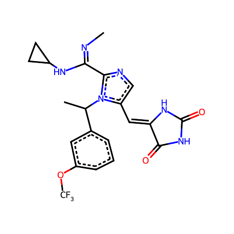 C/N=C(/NC1CC1)c1ncc(/C=C2\NC(=O)NC2=O)n1C(C)c1cccc(OC(F)(F)F)c1